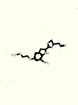 COCCOc1cc(N)c2c(c1)CC(C1=NCC(CC=O)S1)N2